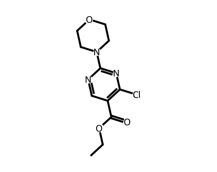 CCOC(=O)c1cnc(N2CCOCC2)nc1Cl